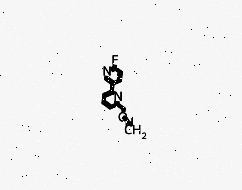 C=NOCc1cccc(-c2ccc(F)nc2)n1